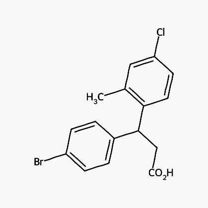 Cc1cc(Cl)ccc1C(CC(=O)O)c1ccc(Br)cc1